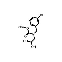 CCCCOC(=O)N(Cc1cccc(Br)c1)CC(O)O